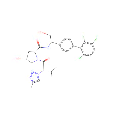 Cc1cn([C@H](C(=O)N2C[C@H](O)C[C@H]2C(=O)N[C@@H](CO)c2ccc(-c3c(F)ccc(F)c3F)cc2)C(C)C)nn1